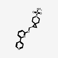 NS(=O)(=O)N1CCC2(CC1)C[C@H]2COc1cccc(-c2ccncc2)n1